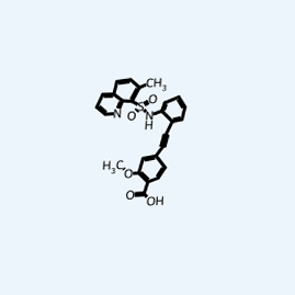 COc1cc(C#Cc2ccccc2NS(=O)(=O)c2c(C)ccc3cccnc23)ccc1C(=O)O